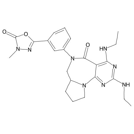 CCNc1nc(NCC)c2c(n1)N1CCCC1CN(c1cccc(-c3nn(C)c(=O)o3)c1)C2=O